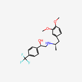 COc1ccc(C[C@@H](C)NC[C@H](O)c2ccc(C(F)(F)F)cc2)cc1OC